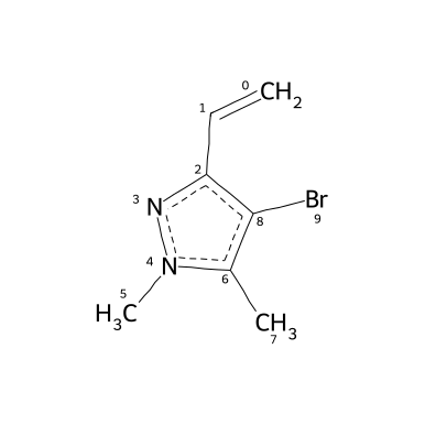 C=Cc1nn(C)c(C)c1Br